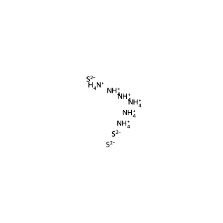 [NH4+].[NH4+].[NH4+].[NH4+].[NH4+].[NH4+].[S-2].[S-2].[S-2]